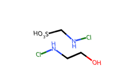 O=S(=O)(O)CNCl.OCCNCl